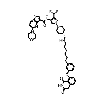 O=C1Cc2cccc(Oc3cccc(CCCCCCNC[C@H]4CC[C@H](n5cc(NC(=O)c6cnn7ccc(N8CCOCC8)nc67)c(C(F)F)n5)CC4)c3)c2C(=O)N1